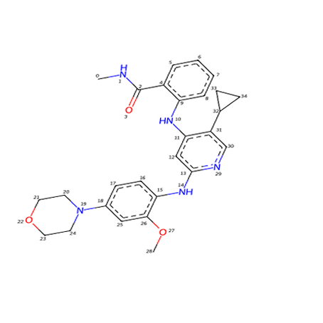 CNC(=O)c1ccccc1Nc1cc(Nc2ccc(N3CCOCC3)cc2OC)ncc1C1CC1